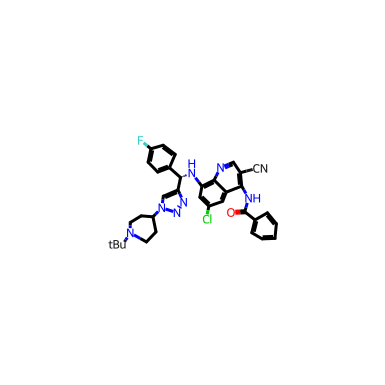 CC(C)(C)N1CCC(n2cc([C@@H](Nc3cc(Cl)cc4c(NC(=O)c5ccccc5)c(C#N)cnc34)c3ccc(F)cc3)nn2)CC1